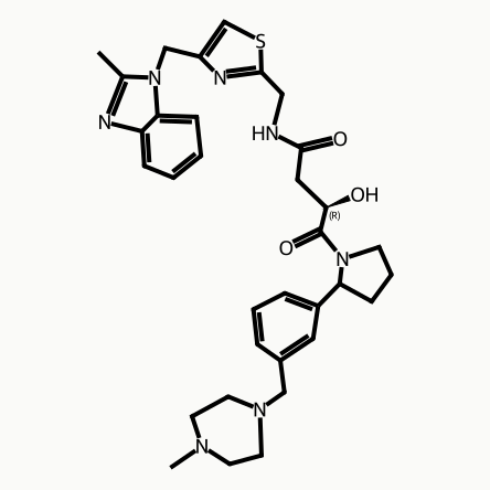 Cc1nc2ccccc2n1Cc1csc(CNC(=O)C[C@@H](O)C(=O)N2CCCC2c2cccc(CN3CCN(C)CC3)c2)n1